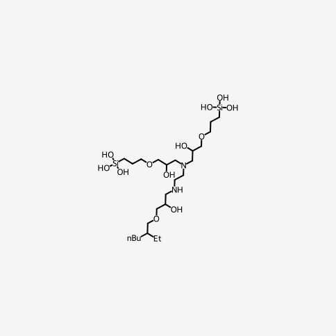 CCCCC(CC)COCC(O)CNCCN(CC(O)COCCC[Si](O)(O)O)CC(O)COCCC[Si](O)(O)O